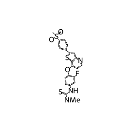 CNC(=S)Nc1ccc(Oc2ccnc3cc(-c4ccc(S(C)(=O)=O)cc4)sc23)c(F)c1